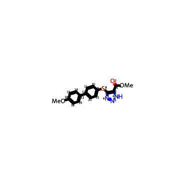 COC(=O)c1[nH]nnc1Sc1ccc(-c2ccc(OC)cc2)cc1